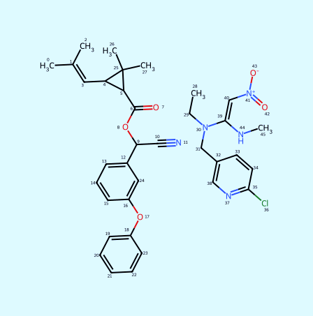 CC(C)=CC1C(C(=O)OC(C#N)c2cccc(Oc3ccccc3)c2)C1(C)C.CCN(Cc1ccc(Cl)nc1)/C(=C/[N+](=O)[O-])NC